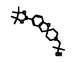 CC(C)(O)CN1CCC2(CC1)Cc1cc(B3OC(C)(C)C(C)(C)O3)ccc1O2